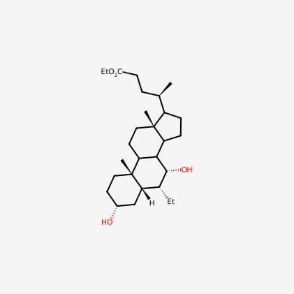 CCOC(=O)CC[C@@H](C)C1CCC2C3C(CC[C@@]21C)[C@@]1(C)CC[C@@H](O)C[C@H]1[C@@H](CC)[C@H]3O